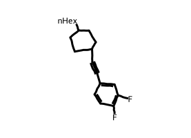 CCCCCCC1CCC(C#Cc2ccc(F)c(F)c2)CC1